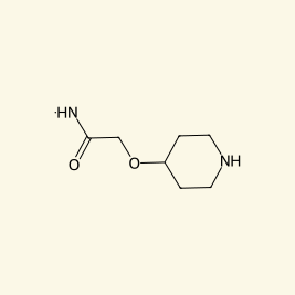 [NH]C(=O)COC1CCNCC1